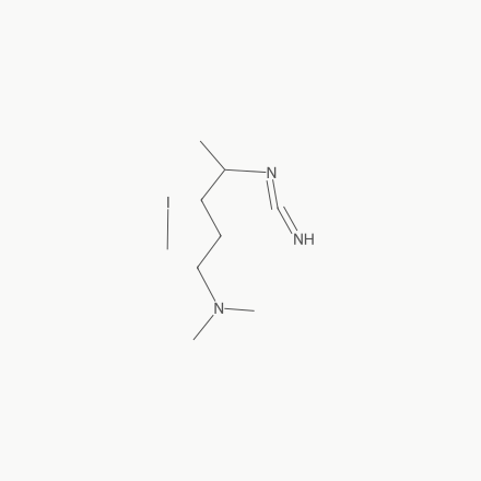 CC(CCCN(C)C)N=C=N.CI